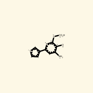 Nc1cc(-c2ccsc2)nc(OC(=O)O)c1Cl